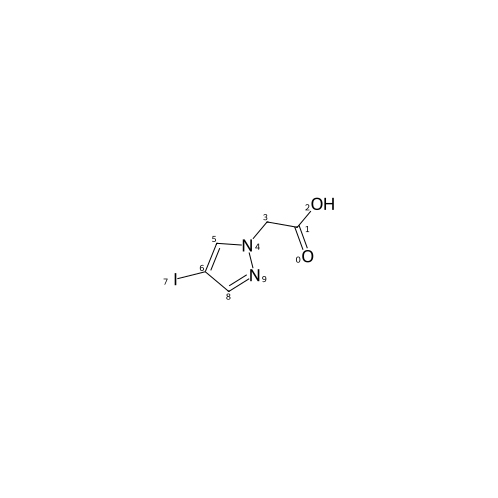 O=C(O)Cn1cc(I)cn1